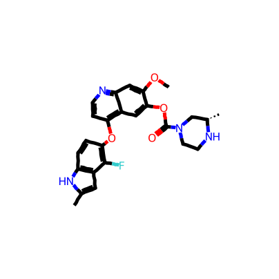 COc1cc2nccc(Oc3ccc4[nH]c(C)cc4c3F)c2cc1OC(=O)N1CCN[C@@H](C)C1